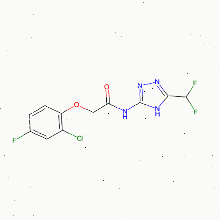 O=C(COc1ccc(F)cc1Cl)Nc1nnc(C(F)F)[nH]1